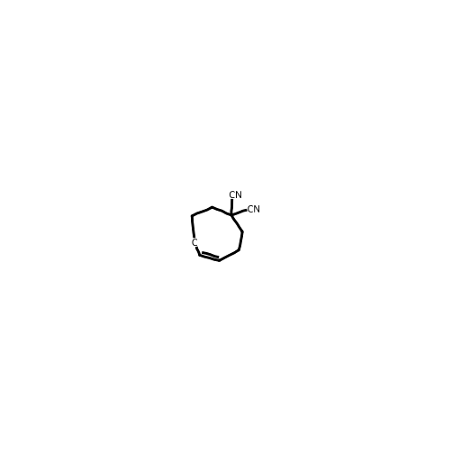 N#CC1(C#N)CC/C=C\CCC1